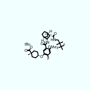 COc1cc(F)c(O[C@H]2CC[C@@](C)(C(=O)OC(C)(C)C)CC2)cc1C(=O)N[C@@H]1[C@H]2CC[C@H](C2)[C@@H]1C(=O)NCC(C)(C)C(C)(F)F